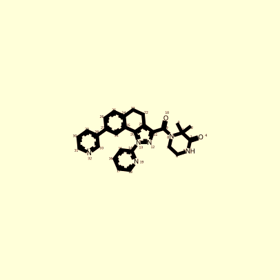 CC1(C)C(=O)NCCN1C(=O)c1nn(-c2ccccn2)c2c1CCc1ccc(-c3cccnc3)cc1-2